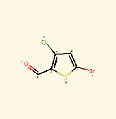 O=Cc1sc(Br)cc1Cl